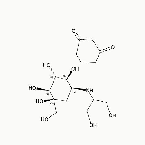 O=C1CCCC(=O)C1.OCC(CO)N[C@H]1C[C@](O)(CO)[C@@H](O)[C@H](O)[C@H]1O